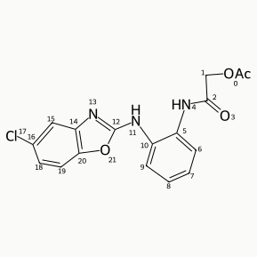 CC(=O)OCC(=O)Nc1ccccc1Nc1nc2cc(Cl)ccc2o1